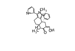 C[C@@H]1C(=O)C(=CO)C[C@]2(c3ccccc3)c3nn(C)c(-c4cccnc4)c3CC[C@@H]12